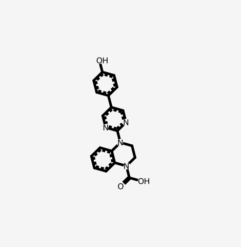 O=C(O)N1CCN(c2ncc(-c3ccc(O)cc3)cn2)c2ccccc21